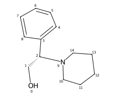 OC[C@H](c1ccccc1)N1CCCCC1